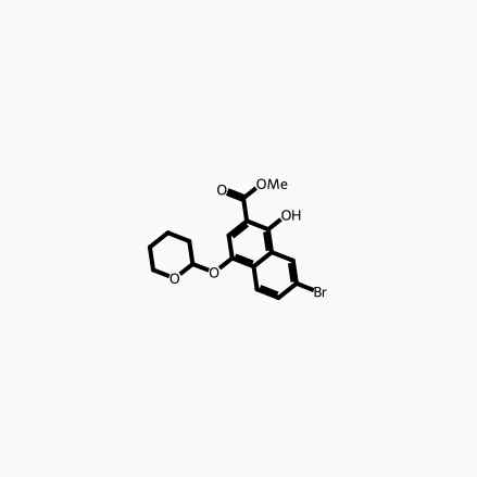 COC(=O)c1cc(OC2CCCCO2)c2ccc(Br)cc2c1O